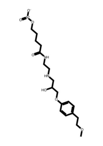 COCCc1ccc(OCC(O)CNCCNC(=O)CCCCO[N+](=O)[O-])cc1